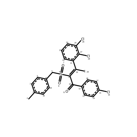 Cc1ccc(CS(=O)(=O)C(C(=O)c2ccc(Cl)cc2)=C(I)c2cccc(Cl)c2Cl)cc1